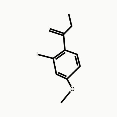 C=C(CC)c1ccc(OC)cc1I